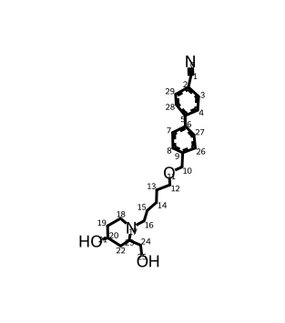 N#Cc1ccc(-c2ccc(COCCCCCN3CCC(O)CC3CO)cc2)cc1